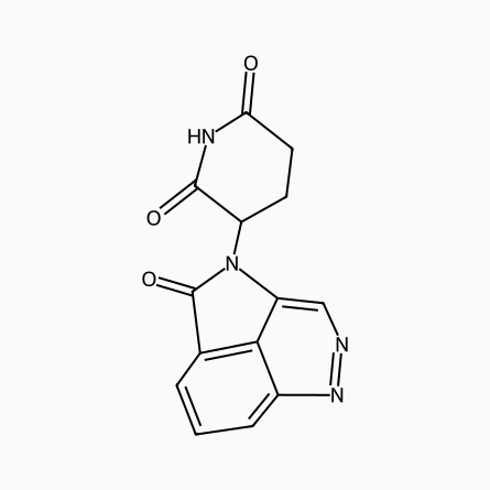 O=C1CCC(N2C(=O)c3cccc4nncc2c34)C(=O)N1